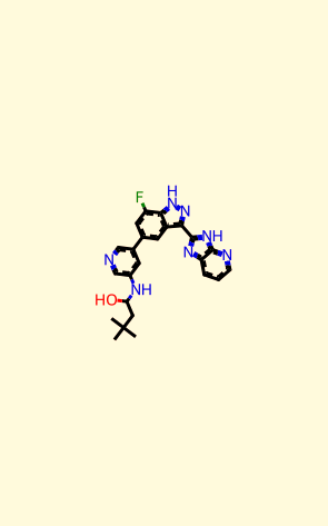 CC(C)(C)CC(O)Nc1cncc(-c2cc(F)c3[nH]nc(-c4nc5cccnc5[nH]4)c3c2)c1